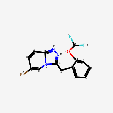 FC(F)Oc1ccccc1Cc1nnc2ccc(Br)cn12